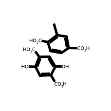 Cc1cc(C(=O)O)ccc1C(=O)O.O=C(O)c1cc(O)c(C(=O)O)cc1O